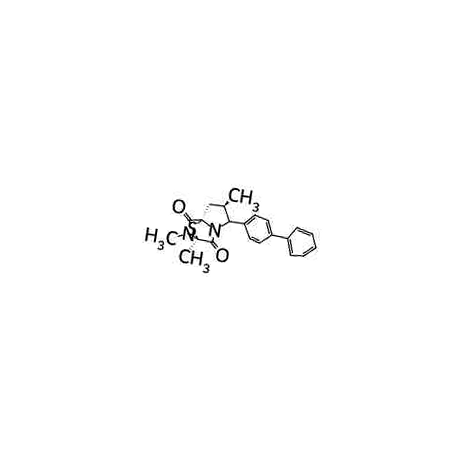 C[C@@H]1C[C@@]23S[C@@](C)(C(=O)N2C1c1ccc(-c2ccccc2)cc1)N(C)C3=O